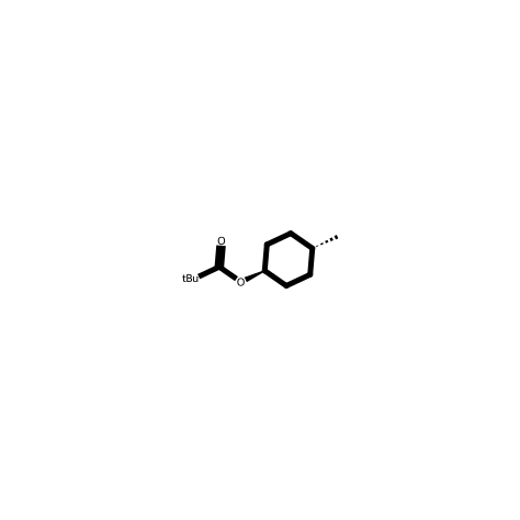 CC(C)(C)C(=O)O[C@H]1CC[C@H](C)CC1